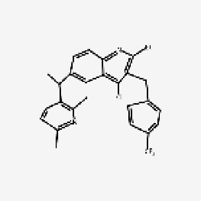 CCc1nc2ccc(C(C)c3ccc(C)nc3C)cc2c(Cl)c1Cc1ccc(C(F)(F)F)cc1